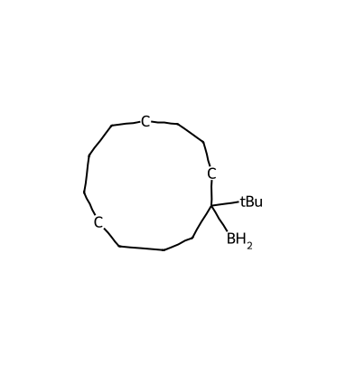 BC1(C(C)(C)C)CCCCCCCCCCC1